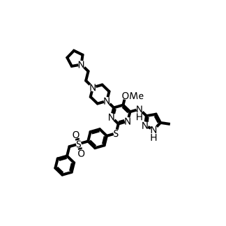 COc1c(Nc2cc(C)[nH]n2)nc(Sc2ccc(S(=O)(=O)Cc3ccccc3)cc2)nc1N1CCN(CCN2CCCC2)CC1